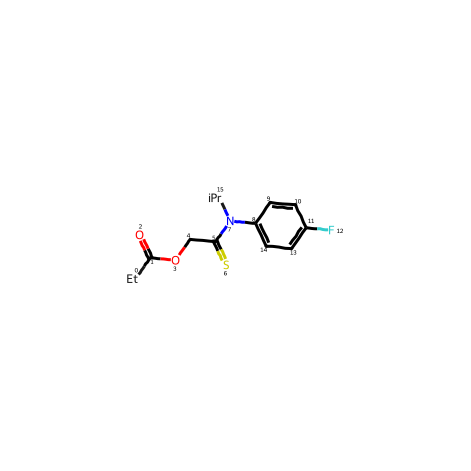 CCC(=O)OCC(=S)N(c1ccc(F)cc1)C(C)C